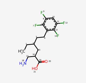 CCC(CCc1c(F)c(F)cc(F)c1F)CC(CN)C(=O)O